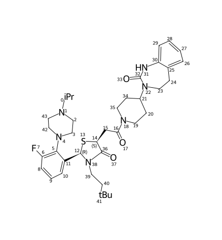 CC(C)N1CCN(c2c(F)cccc2[C@H]2S[C@@H](CC(=O)N3CCC(N4CCc5ccccc5NC4=O)CC3)C(=O)N2CCC(C)(C)C)CC1